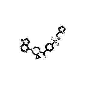 O=C(c1ccc(S(=O)(=O)NCc2ccco2)cc1)N1CCN(c2ncnc3[nH]ccc23)CC12CC2